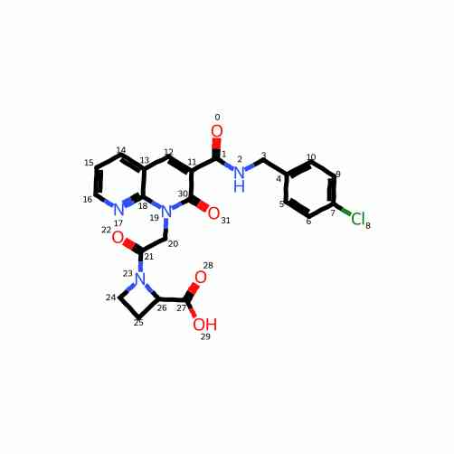 O=C(NCc1ccc(Cl)cc1)c1cc2cccnc2n(CC(=O)N2CCC2C(=O)O)c1=O